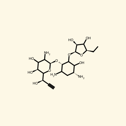 C#C[C@@H](O)C1O[C@H](O[C@H]2C(N)C[C@@H](N)C(O)C2O[C@@H]2O[C@H](CC)C(O)[C@@H]2O)C(N)C(O)[C@@H]1O